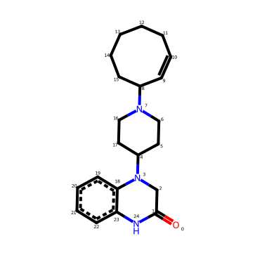 O=C1CN(C2CCN(C3/C=C\CCCCC3)CC2)c2ccccc2N1